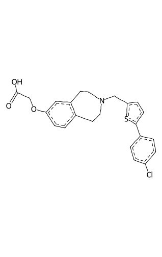 O=C(O)COc1ccc2c(c1)CCN(Cc1ccc(-c3ccc(Cl)cc3)s1)CC2